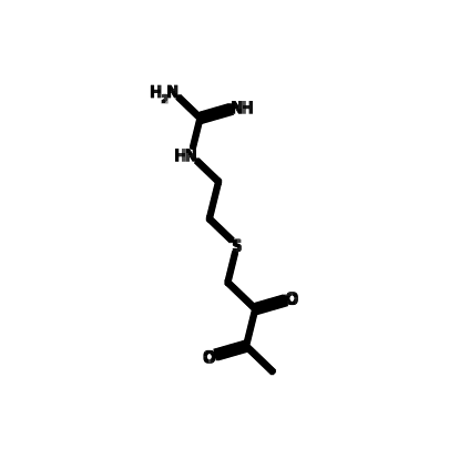 CC(=O)C(=O)CSCCNC(=N)N